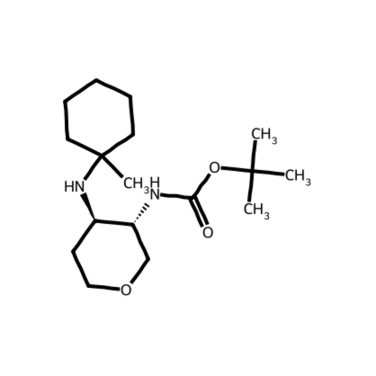 CC1(N[C@@H]2CCOC[C@H]2NC(=O)OC(C)(C)C)CCCCC1